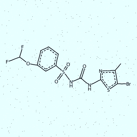 Cc1nc(NC(=O)NS(=O)(=O)c2cccc(OC(F)F)c2)sc1Br